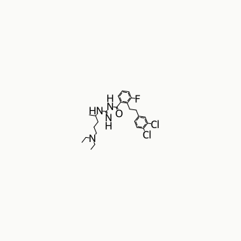 CCN(CC)CCCC(C)NC(=N)NC(=O)c1cccc(F)c1CCc1ccc(Cl)c(Cl)c1